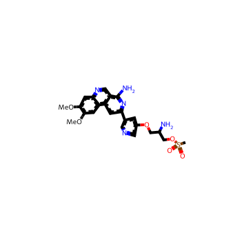 COc1cc2ncc3c(N)nc(-c4cncc(OCC(N)COS(C)(=O)=O)c4)cc3c2cc1OC